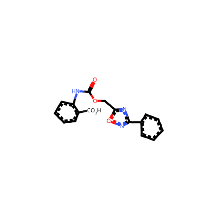 O=C(Nc1ccccc1C(=O)O)OCc1nc(-c2ccccc2)no1